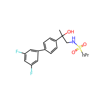 CCCS(=O)(=O)NCC(C)(O)c1ccc(-c2cc(F)cc(F)c2)cc1